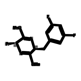 COC1=N[C@H](C(C)C)C(OC)=N[C@H]1Cc1cc(F)cc(F)c1